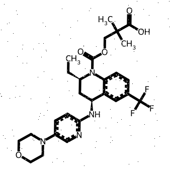 CC[C@@H]1C[C@H](Nc2ccc(N3CCOCC3)cn2)c2cc(C(F)(F)F)ccc2N1C(=O)OCC(C)(C)C(=O)O